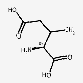 CC(CC(=O)O)[C@H](N)C(=O)O